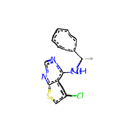 C[C@H](Nc1ncnc2scc(Cl)c12)c1ccccc1